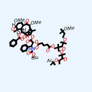 CO[C@H]1C(=O)[C@]2(C)[C@@H](OC)C[C@H]3OC[C@@]3(OC(C)=O)[C@H]2[C@H](OC(=O)c2ccccc2)[C@]2(O)C[C@H](OC(=O)[C@H](OC(=O)CCCC(=O)OCC(C)(COC(C)(C)C(=O)C(C)OC(C)(C)C(C)=O)C(=O)C(C)(C)OCCC(C)(C)OC)[C@@H](NC(=O)OC(C)(C)C)c3ccccc3)C(C)=C1C2(C)C